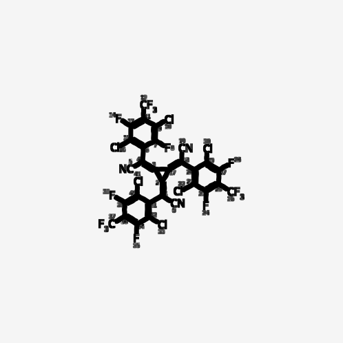 N#CC(=C1C(=C(\C#N)c2c(F)c(Cl)c(C(F)(F)F)c(F)c2Cl)/C1=C(\C#N)c1c(Cl)c(F)c(C(F)(F)F)c(F)c1Cl)c1c(Cl)c(F)c(C(F)(F)F)c(F)c1Cl